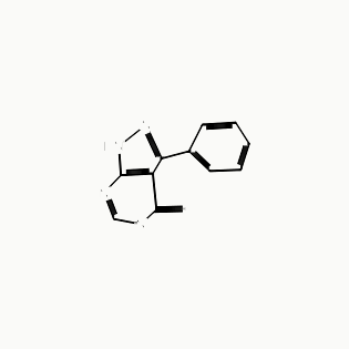 O=C1[N]C=Nc2[nH]nc(-c3ccccc3)c21